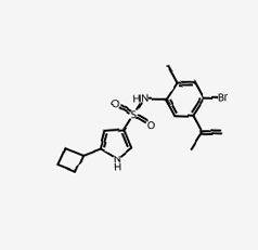 C=C(C)c1cc(NS(=O)(=O)c2c[nH]c(C3CCC3)c2)c(C)cc1Br